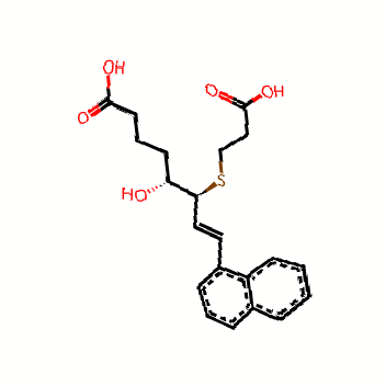 O=C(O)CCC[C@@H](O)[C@H](/C=C/c1cccc2ccccc12)SCCC(=O)O